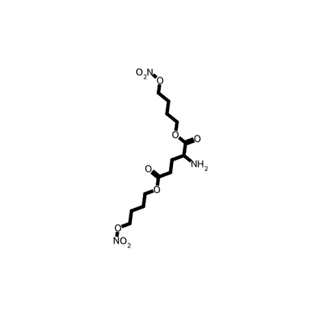 NC(CCC(=O)OCCCCO[N+](=O)[O-])C(=O)OCCCCO[N+](=O)[O-]